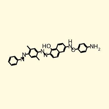 Cc1cc(N=Nc2ccc3cc(NOc4ccc(N)cc4)ccc3c2O)c(C)cc1N=Nc1ccccc1